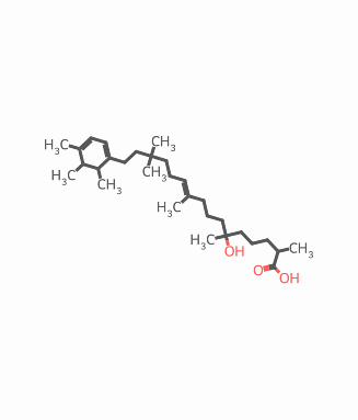 CC1=CC=C(CCC(C)(C)CC/C=C(\C)CCCC(C)(O)CCCC(C)C(=O)O)C(C)C1C